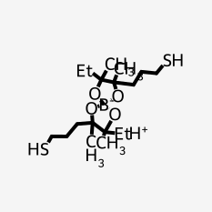 CCC1(C)O[B-]2(OC(C)(CC)C(C)(CCCS)O2)OC1(C)CCCS.[H+]